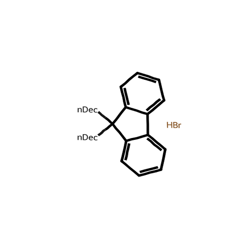 Br.CCCCCCCCCCC1(CCCCCCCCCC)c2ccccc2-c2ccccc21